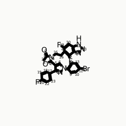 O=C1COC(c2cn(-c3ccc(Br)cc3)nc2-c2ccc(F)cc2)N1CCc1c(F)cc2[nH]nnc2c1F